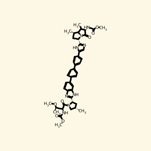 COC(=O)N[C@@H]1C(=O)N2C(C1C)[C@@H](C)C[C@H]2c1ncc(-c2ccc(-c3ccc(-c4ccc5nc([C@@H]6C[C@H](C)CN6C(=O)[C@@H](NC(=O)OC)[C@@H](C)OC)[nH]c5c4)cc3)cc2)[nH]1